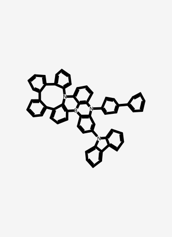 c1ccc(-c2ccc(N3c4cc(-n5c6ccccc6c6ccccc65)ccc4B4c5c3cccc5-n3c5ccccc5c5ccccc5c5ccccc5c5cccc4c53)cc2)cc1